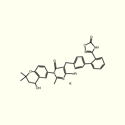 CCCc1nc(C)n(-c2ccc3c(c2)C(O)CC(C)(C)O3)c(=O)c1Cc1ccc(-c2ccccc2-c2noc(=O)[nH]2)cc1.[K]